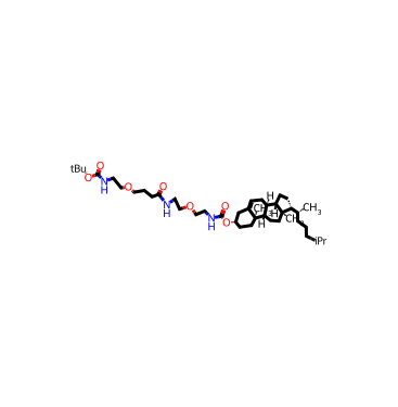 CC(C)CCC[C@@H](C)[C@H]1CC[C@H]2[C@@H]3CC=C4C[C@@H](OC(=O)NCCOCCNC(=O)CCCOCCNC(=O)OC(C)(C)C)CC[C@]4(C)[C@H]3CC[C@]12C